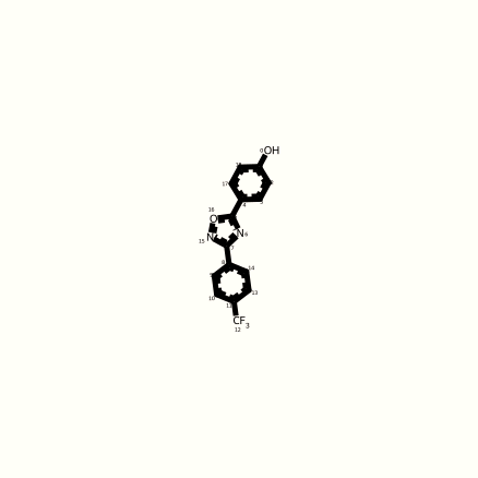 Oc1ccc(-c2nc(-c3ccc(C(F)(F)F)cc3)no2)cc1